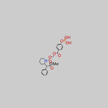 COC(=O)C(c1ccccc1)C1CCCCN1C(=O)OCOC(=O)c1ccc(OP(O)O)cc1